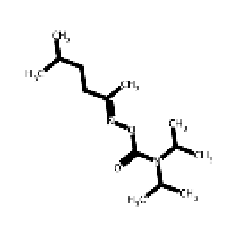 C/C(CCC(C)C)=N\OC(=O)N(C(C)C)C(C)C